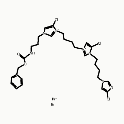 O=C(NCCCn1cc(Cl)[n+](CCCC[n+]2cc(Cl)n(CCCCn3cnc(Cl)c3)c2)c1)OCc1ccccc1.[Br-].[Br-]